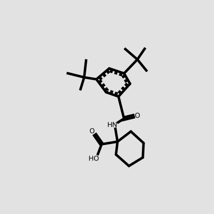 CC(C)(C)c1cc(C(=O)NC2(C(=O)O)CCCCC2)cc(C(C)(C)C)c1